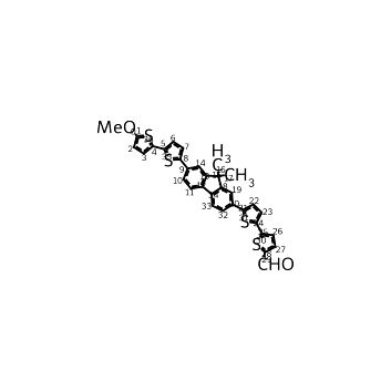 COc1ccc(-c2ccc(-c3ccc4c(c3)C(C)(C)c3cc(-c5ccc(-c6ccc(C=O)s6)s5)ccc3-4)s2)s1